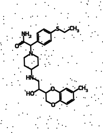 CCSc1ccc(C(C(N)=O)N2CCC(NCC(O)C3COc4ccc(C)cc4O3)CC2)cc1